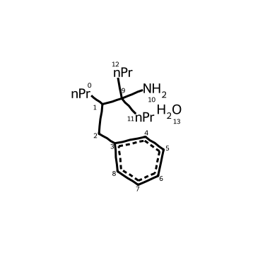 CCCC(Cc1ccccc1)C(N)(CCC)CCC.O